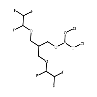 FC(F)C(F)OCC(COC(F)C(F)F)COP(OCl)OCl